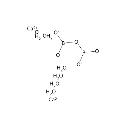 O.O.O.O.O.O.[Ca+2].[Ca+2].[O-]B([O-])OB([O-])[O-]